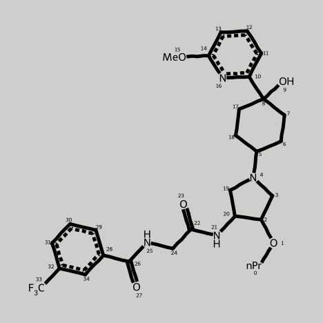 CCCOC1CN(C2CCC(O)(c3cccc(OC)n3)CC2)CC1NC(=O)CNC(=O)c1cccc(C(F)(F)F)c1